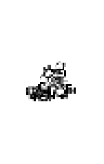 COC(=O)c1ccccc1Nc1cc(S(=O)(=O)C2COCCN2)nc2ccc(Br)cc12